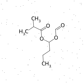 CCCC(OC=O)OC(=O)C(C)C